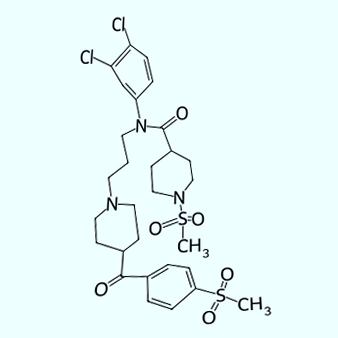 CS(=O)(=O)c1ccc(C(=O)C2CCN(CCCN(C(=O)C3CCN(S(C)(=O)=O)CC3)c3ccc(Cl)c(Cl)c3)CC2)cc1